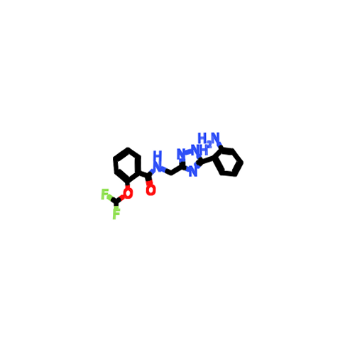 Nc1ccccc1-c1nc(CNC(=O)c2ccccc2OC(F)F)n[nH]1